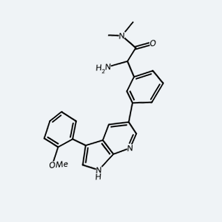 COc1ccccc1-c1c[nH]c2ncc(-c3cccc(C(N)C(=O)N(C)C)c3)cc12